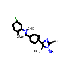 COc1ccc(F)cc1N(C=O)Cc1ccc(-c2nc(C(C)C)n(N)c2C(=O)O)cc1